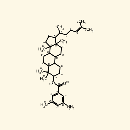 CC(C)=CCCC(C)C1CCC2(C)C3CCC4C(CCC(OC(=O)c5cc(N)cc(N)c5)C4(C)C)C3CCC12C